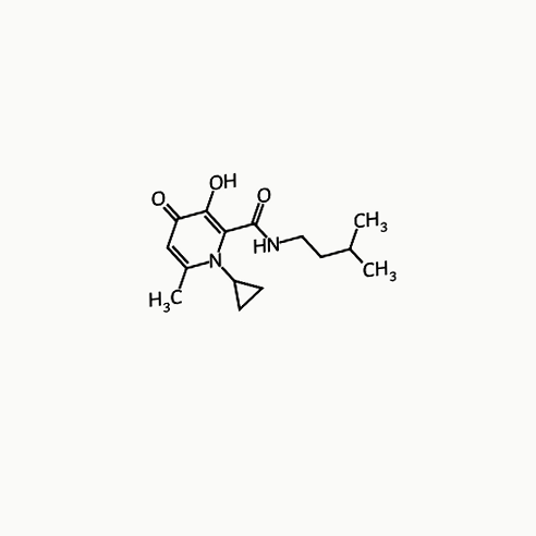 Cc1cc(=O)c(O)c(C(=O)NCCC(C)C)n1C1CC1